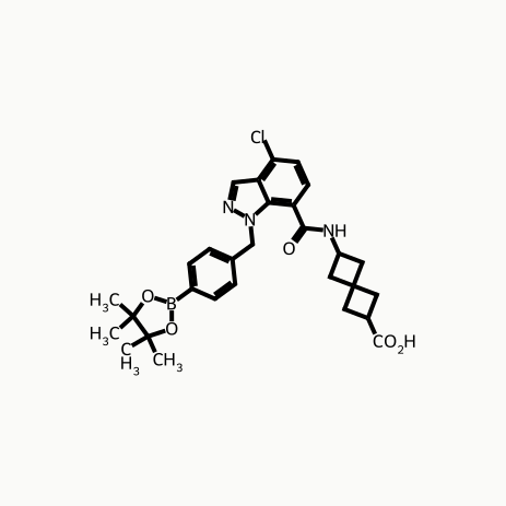 CC1(C)OB(c2ccc(Cn3ncc4c(Cl)ccc(C(=O)NC5CC6(C5)CC(C(=O)O)C6)c43)cc2)OC1(C)C